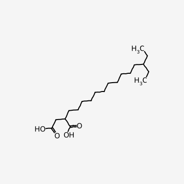 CCC(CC)CCCCCCCCCCCC(CC(=O)O)C(=O)O